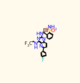 CC[C@@H](Nc1nc(NCC(F)(F)F)c2nc(-c3ccc(F)cc3)ccc2n1)c1ccccc1S(N)(=O)=O